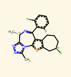 Cc1nnc2n1-c1sc3c(c1C(c1c(F)cccc1F)=N[C@H]2C)CCC[C@@H](F)C3